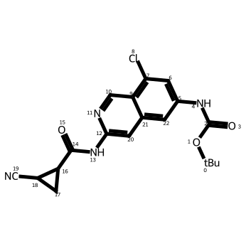 CC(C)(C)OC(=O)Nc1cc(Cl)c2cnc(NC(=O)C3CC3C#N)cc2c1